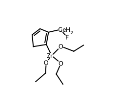 CC[O][Zr]([O]CC)([O]CC)[C]1=[C]([GeH2][F])C=CC1